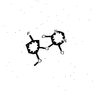 COc1ccc(F)cc1Oc1c(Cl)ncnc1Cl